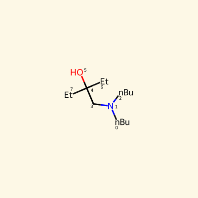 CCCCN(CCCC)CC(O)(CC)CC